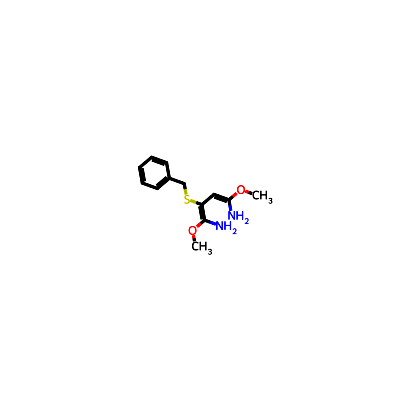 CO/C(N)=C(/C=C(\N)OC)SCc1ccccc1